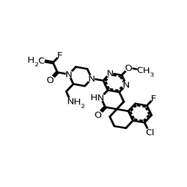 C=C(F)C(=O)N1CCN(c2nc(OC)nc3c2NC(=O)C2(CCCc4c(Cl)cc(F)cc42)C3)CC1CN